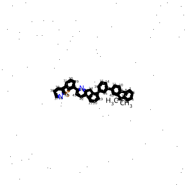 CC1(C)c2ccccc2-c2ccc(-c3cccc(-c4cccc5c4Cc4nc(-c6cccc7c6sc6ncccc67)ccc4-5)c3)cc21